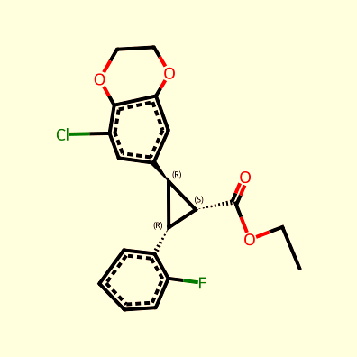 CCOC(=O)[C@H]1[C@H](c2cc(Cl)c3c(c2)OCCO3)[C@H]1c1ccccc1F